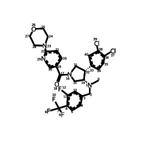 CN(Cc1ccc(C(F)(F)F)c(F)c1)[C@@H]1CN(C(=O)c2ccc(N3CCOCC3)nc2)C[C@@H]1c1ccc(Cl)c(Cl)c1